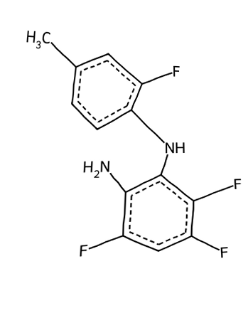 Cc1ccc(Nc2c(N)c(F)cc(F)c2F)c(F)c1